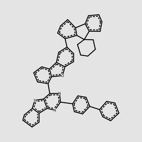 c1ccc(-c2ccc(-c3nc(-c4cccc5c4oc4ccc(-c6cccc7c6C6(CCCCC6)c6ccccc6-7)cc45)c4sc5ccccc5c4n3)cc2)cc1